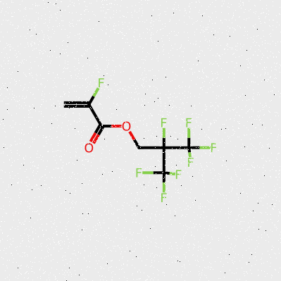 C=C(F)C(=O)OCC(F)(C(F)(F)F)C(F)(F)F